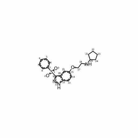 O=S(=O)(c1ccccc1)c1n[nH]c2ccc(OCCNC3CCCC3)cc12